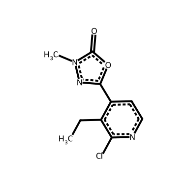 CCc1c(-c2nn(C)c(=O)o2)ccnc1Cl